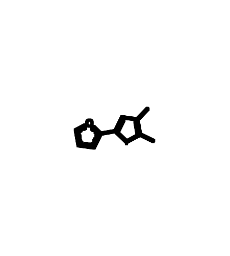 CC1=C(C)C=C(c2ccco2)[CH]1